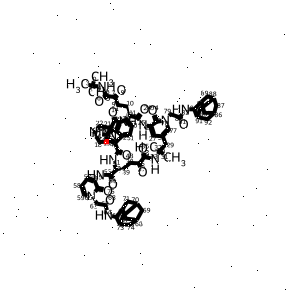 CC(C)(C)NC(=O)C(=O)CC[C@H](NC(=O)C1CN2CCN1CC2)C(=O)Nc1cc(CC(C)(C)NC(=O)C(=O)CC[C@H](NC(=O)c2c[nH]c3ccccc23)C(=O)Nc2cccn(CC(=O)NC3C4CC5CC(C4)CC3C5)c2=O)cn(CC(=O)NC2C3CC4CC(C3)CC2C4)c1=O